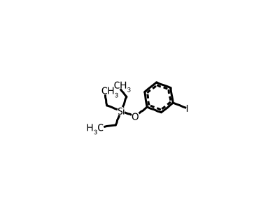 CC[Si](CC)(CC)Oc1cccc(I)c1